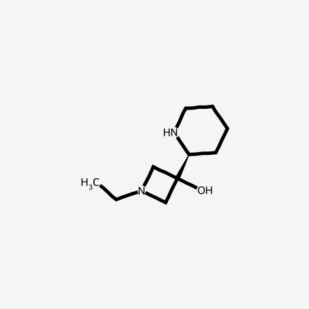 CCN1CC(O)([C@@H]2CCCCN2)C1